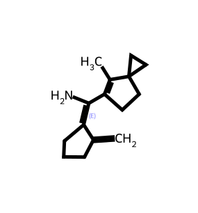 C=C1CCC/C1=C(\N)C1=C(C)C2(CC1)CC2